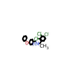 CC(NCc1ccc(Oc2ccccc2)cc1)c1ccc(Cl)c(Cl)c1Cl